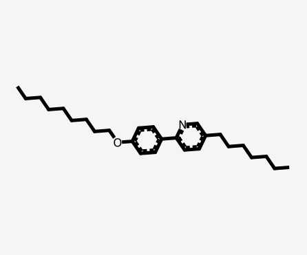 CCCCCCCCCOc1ccc(-c2ccc(CCCCCCC)cn2)cc1